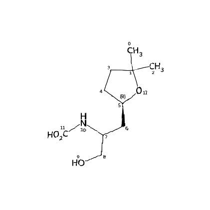 CC1(C)CC[C@H](CC(CO)NC(=O)O)O1